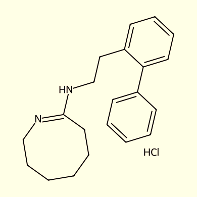 Cl.c1ccc(-c2ccccc2CCN/C2=N/CCCCCC2)cc1